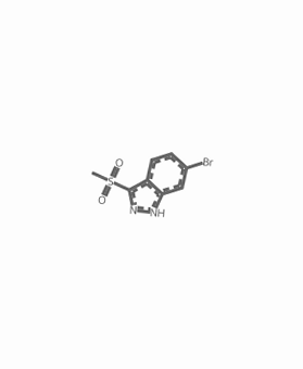 CS(=O)(=O)c1n[nH]c2cc(Br)ccc12